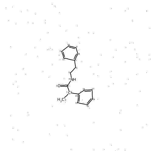 [CH2-][C+](C(=O)NCCc1ccccc1)c1ccccc1